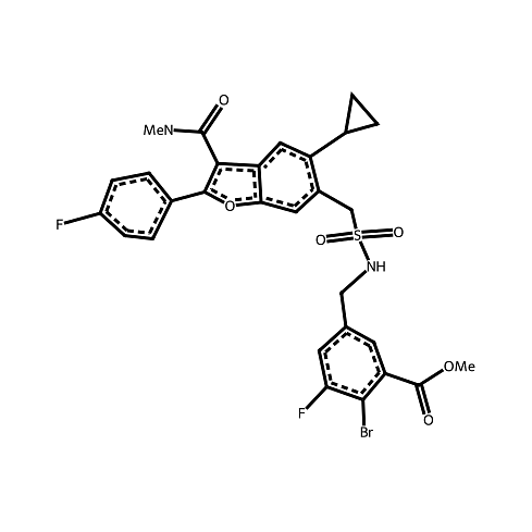 CNC(=O)c1c(-c2ccc(F)cc2)oc2cc(CS(=O)(=O)NCc3cc(F)c(Br)c(C(=O)OC)c3)c(C3CC3)cc12